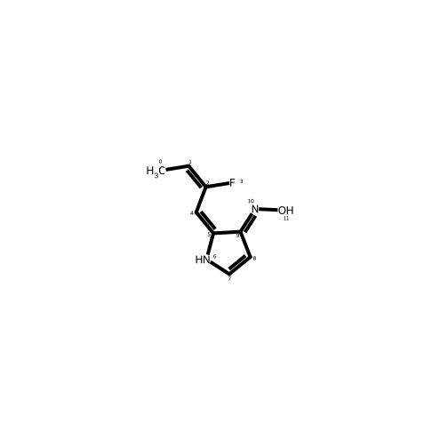 C\C=C(F)/C=C1/NC=C/C1=N\O